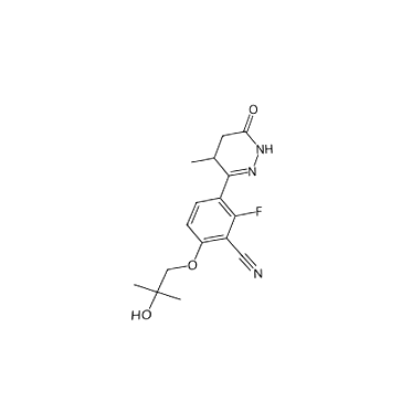 CC1CC(=O)NN=C1c1ccc(OCC(C)(C)O)c(C#N)c1F